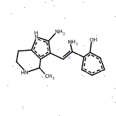 CC1NCCc2[nH]c(N)c(/C=C(\N)c3ccccc3O)c21